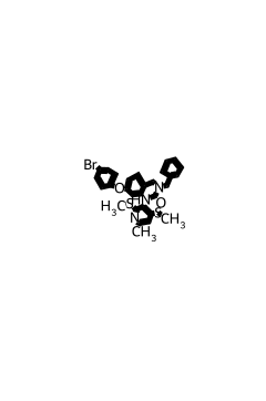 CSc1cc(C)nc(SC)c1NC(=O)N(Cc1ccccc1)Cc1ccc(Oc2ccc(Br)cc2)cc1